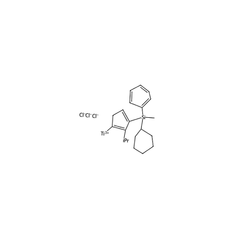 CC(C)C1=[C]([Ti+3])CC=C1[Si](C)(c1ccccc1)C1CCCCC1.[Cl-].[Cl-].[Cl-]